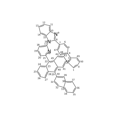 c1ccc(-c2ccc(-c3nc4ccccc4n3-c3cccc(-c4c5ccccc5c(-c5ccc6ccccc6c5)c5ccccc45)n3)cc2)cc1